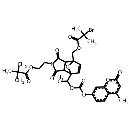 Cc1cc(=O)oc2cc(OC(=O)OC(C)C34C=CC(COC(=O)C(C)(C)Br)(O3)C3C(=O)N(CCOC(=O)C(C)(C)C)C(=O)C34)ccc12